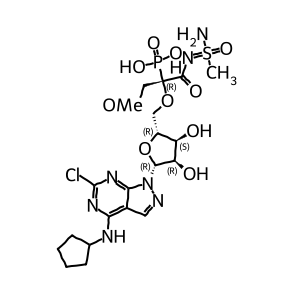 COC[C@](OC[C@H]1O[C@@H](n2ncc3c(NC4CCCC4)nc(Cl)nc32)[C@H](O)[C@@H]1O)(C(=O)N=S(C)(N)=O)P(=O)(O)O